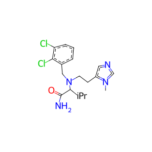 CC(C)C(C(N)=O)N(CCc1cncn1C)Cc1cccc(Cl)c1Cl